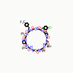 CC[C@H](C)[C@@H]1NC(=O)[C@H](C(C)C)N(C)C(=O)C[C@@H](C)NC(=O)[C@H](CC(C)C)N(C)C(=O)C2(CCCC2)NC(=O)[C@H](CC(C)C)N(C)C(=O)[C@H](CCc2ccc(C(F)(F)F)cc2)NC(=O)CN(C)C(=O)[C@H](Cc2ccc(Cl)cc2)N(C)C(=O)[C@@H]2CCN2C(=O)CN(C)C1=O